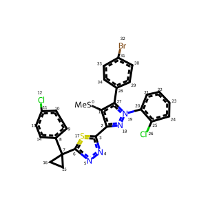 CSc1c(-c2nnc(C3(c4ccc(Cl)cc4)CC3)s2)nn(-c2ccccc2Cl)c1-c1ccc(Br)cc1